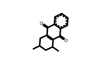 CC1CC2=C(C(=O)c3ccccc3C2=O)C(C)C1